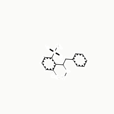 CC(C)OC(Cc1ccccc1)c1c(S(N)(=O)=O)cccc1S(=O)(=O)O